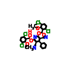 COc1c(Cl)ccc(Cl)c1C(=O)Oc1nc(OC(O)c2c(Cl)ccc(Cl)c2OC)c(C#N)c(-c2ccccc2)c1C#N